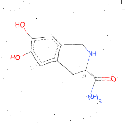 NC(=O)[C@@H]1Cc2cc(O)c(O)cc2CN1